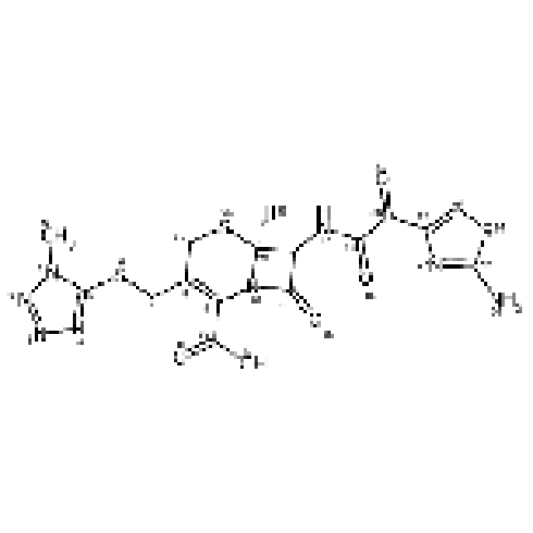 Cn1nnnc1SCC1=C(C(=O)O)N2C(=O)C(NC(=O)C(=O)c3csc(N)n3)[C@@H]2SC1